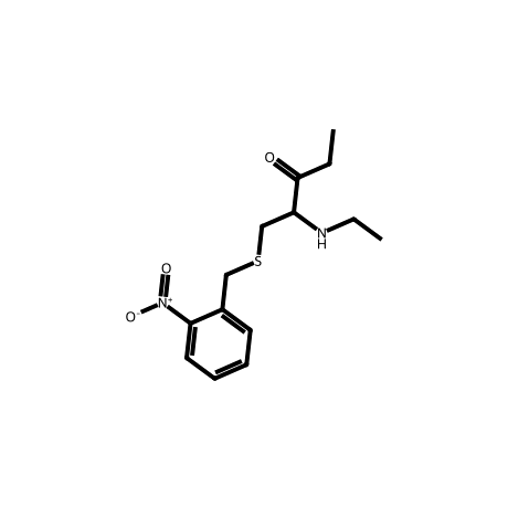 CCNC(CSCc1ccccc1[N+](=O)[O-])C(=O)CC